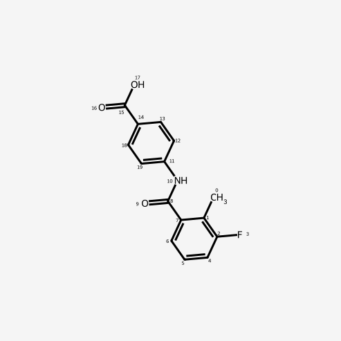 Cc1c(F)cccc1C(=O)Nc1ccc(C(=O)O)cc1